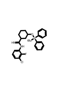 CC(C)(C)[Si](OC1CCCC(C(=N)Nc2cccc(Cl)c2F)C1)(c1ccccc1)c1ccccc1